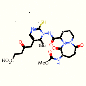 COC(=O)NC1CCC(=O)N2CCCC(C(=O)NN3C(S)=NC=C(CC(=O)CCC(=O)O)C3C(C)(C)C)N2C1=O